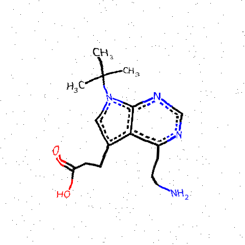 CC(C)(C)n1cc(CC(=O)O)c2c(CN)ncnc21